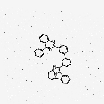 C1=CC(c2nc3cccc4c5ccccc5c2n34)CC(c2cccc(-c3nc(-c4ccccc4)c4ccccc4n3)c2)=C1